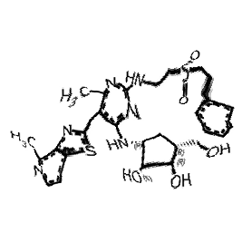 Cc1nc(NCCS(=O)(=O)Cc2ccccc2)nc(N[C@@H]2C[C@H](CO)[C@@H](O)[C@H]2O)c1-c1nc2c(C)nccc2s1